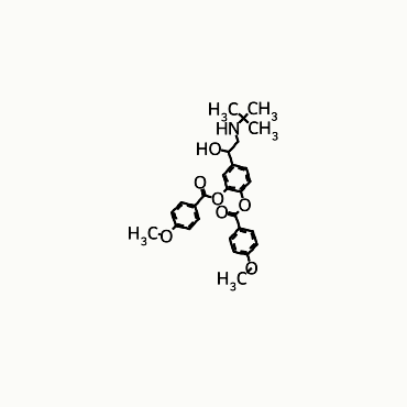 COc1ccc(C(=O)Oc2ccc(C(O)CNC(C)(C)C)cc2OC(=O)c2ccc(OC)cc2)cc1